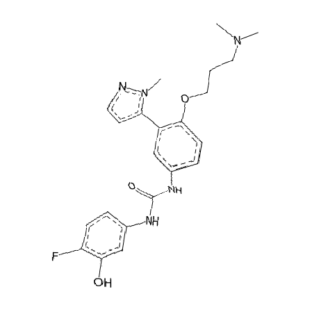 CN(C)CCCOc1ccc(NC(=O)Nc2ccc(F)c(O)c2)cc1-c1ccnn1C